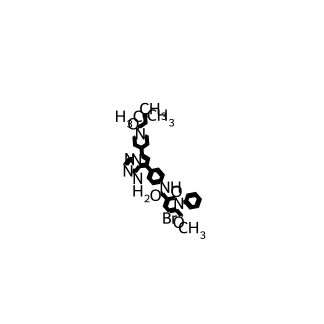 COCc1c(Br)cc(C(=O)Nc2ccc(-c3cc(C4CCN(C(=O)CC(C)(C)C)CC4)n4ncnc(N)c34)cc2)c(=O)n1-c1ccccc1